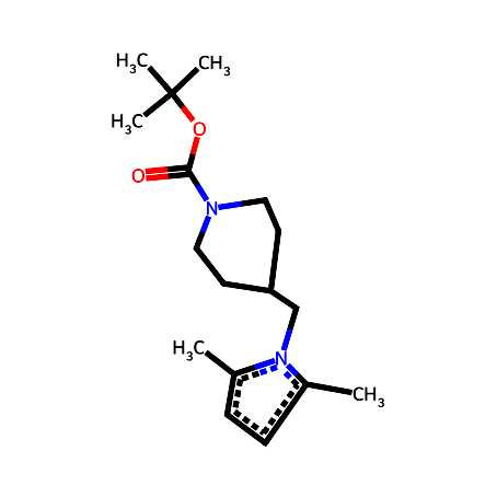 Cc1ccc(C)n1CC1CCN(C(=O)OC(C)(C)C)CC1